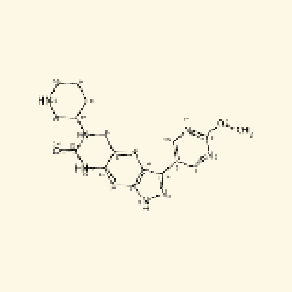 COc1ncc(-c2n[nH]c3cc4c(cc23)CN(C2CCCNC2)C(=O)N4)cn1